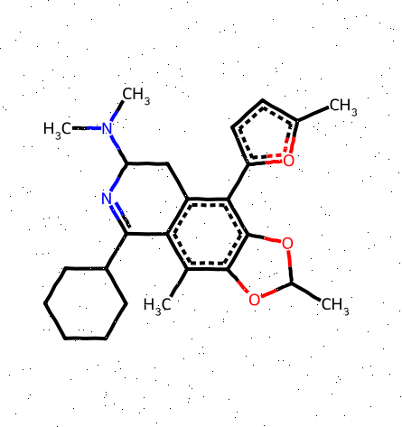 Cc1ccc(-c2c3c(c(C)c4c2OC(C)O4)C(C2CCCCC2)=NC(N(C)C)C3)o1